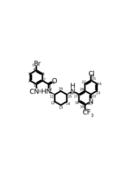 N#Cc1ccc(Br)cc1C(=O)N[C@@H]1CCC[C@H](Nc2cc(C(F)(F)F)nc3ccc(Cl)cc23)C1